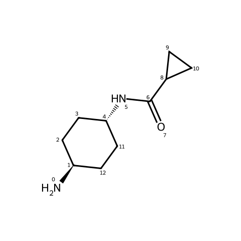 N[C@H]1CC[C@H](NC(=O)C2CC2)CC1